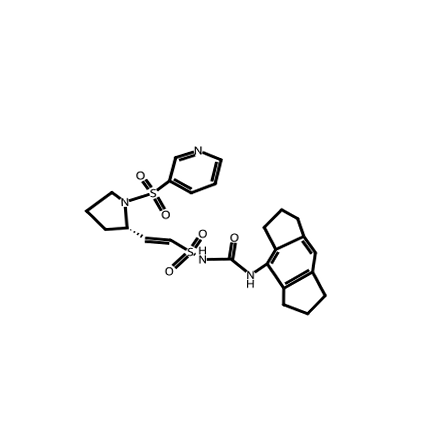 O=C(Nc1c2c(cc3c1CCC3)CCC2)NS(=O)(=O)/C=C/[C@@H]1CCCN1S(=O)(=O)c1cccnc1